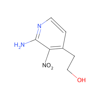 Nc1nccc(CCO)c1[N+](=O)[O-]